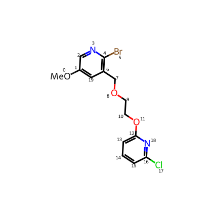 COc1cnc(Br)c(COCCOc2cccc(Cl)n2)c1